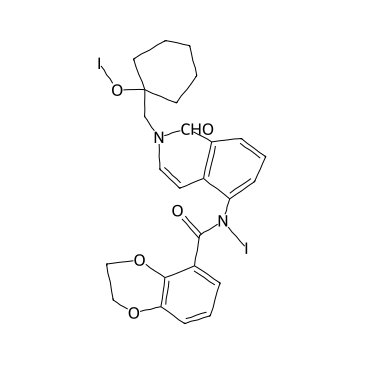 Cc1cccc(N(I)C(=O)c2cccc3c2OCCO3)c1/C=C\N(C=O)CC1(OI)CCCCC1